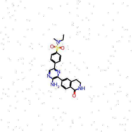 CCN(C)S(=O)(=O)c1ccc(-c2cnc(N)c(-c3ccc4c(c3)CCNC4=O)n2)cc1